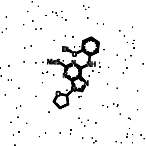 CCOc1ccccc1Nc1nc(SC)nc2c1ncn2C1CCCO1